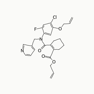 C=CCOC(=O)C1=C(C(=O)N(Cc2cccnc2)c2cc(OCC=C)c(Cl)cc2F)CCCC1